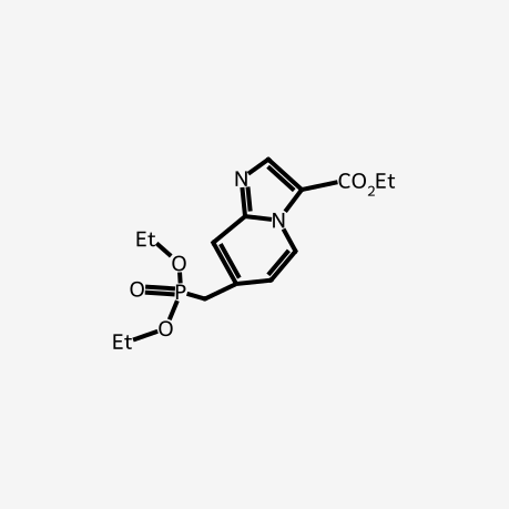 CCOC(=O)c1cnc2cc(CP(=O)(OCC)OCC)ccn12